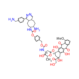 COc1cccc2c1C(=O)c1c(O)c3c(c(O)c1C2=O)C[C@@](O)(C(=O)CO)C[C@@H]3O[C@H]1C[C@@H](NC(=O)OCc2ccc(OC(=O)NC3CCC4C(c5ccc(CN)cc5)=NN=CC4CCC3N)cc2)[C@H](O)C(C)O1